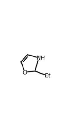 CCC1NC=CO1